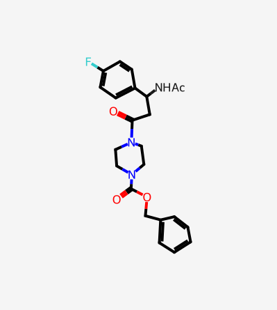 CC(=O)NC(CC(=O)N1CCN(C(=O)OCc2ccccc2)CC1)c1ccc(F)cc1